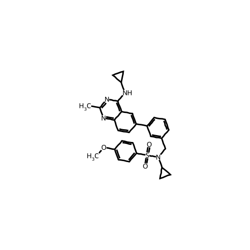 COc1ccc(S(=O)(=O)N(Cc2cccc(-c3ccc4nc(C)nc(NC5CC5)c4c3)c2)C2CC2)cc1